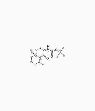 CC1CCC[C@@H]2CCC(NC(=O)OC(C)(C)C)C(=O)N12